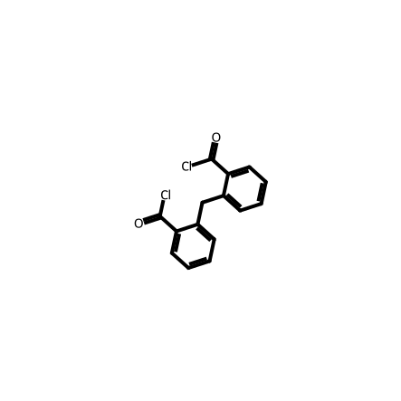 O=C(Cl)c1ccccc1Cc1ccccc1C(=O)Cl